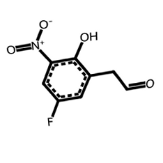 O=CCc1cc(F)cc([N+](=O)[O-])c1O